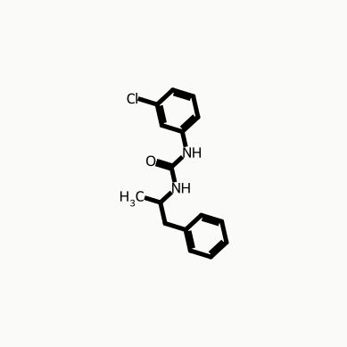 CC(Cc1ccccc1)NC(=O)Nc1cccc(Cl)c1